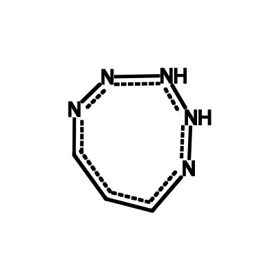 c1cnn[nH][nH]nc1